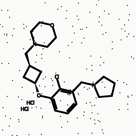 Cl.Cl.Clc1c(CN2CCCC2)cccc1O[C@H]1C[C@H](CN2CCOCC2)C1